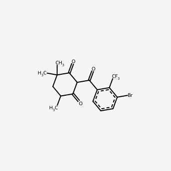 CC1CC(C)(C)C(=O)C(C(=O)c2cccc(Br)c2C(F)(F)F)C1=O